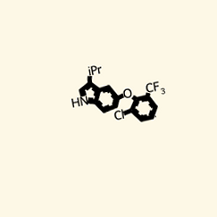 CC(C)c1c[nH]c2ccc(Oc3c(Cl)c[c]cc3C(F)(F)F)cc12